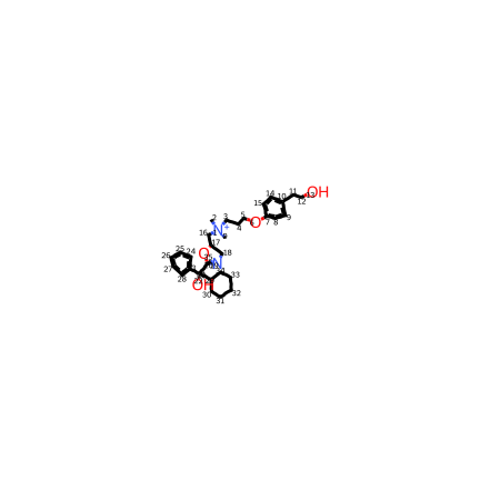 C[N+](C)(CCCOc1ccc(CCO)cc1)CC1CN=C([C@](O)(c2ccccc2)C2CCCCC2)O1